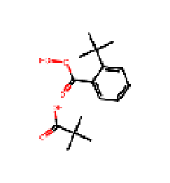 CC(C)(C)C(=O)O.CC(C)(C)c1ccccc1C(=O)OO